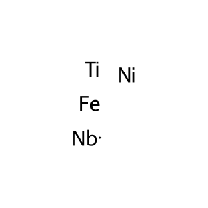 [Fe].[Nb].[Ni].[Ti]